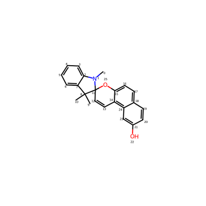 CN1c2ccccc2C(C)(C)C12C=Cc1c(ccc3ccc(O)cc13)O2